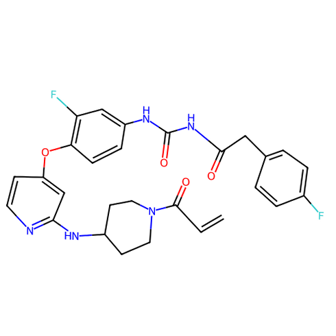 C=CC(=O)N1CCC(Nc2cc(Oc3ccc(NC(=O)NC(=O)Cc4ccc(F)cc4)cc3F)ccn2)CC1